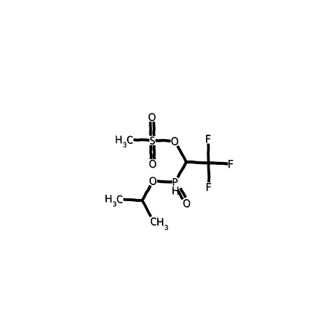 CC(C)O[PH](=O)C(OS(C)(=O)=O)C(F)(F)F